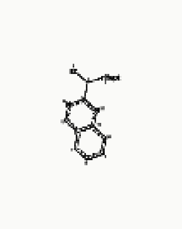 CCCCCCCC(CC)c1ncc2ccccc2n1